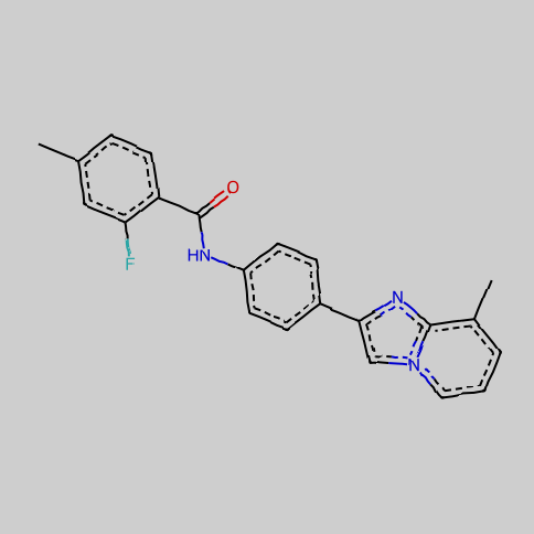 Cc1ccc(C(=O)Nc2ccc(-c3cn4cccc(C)c4n3)cc2)c(F)c1